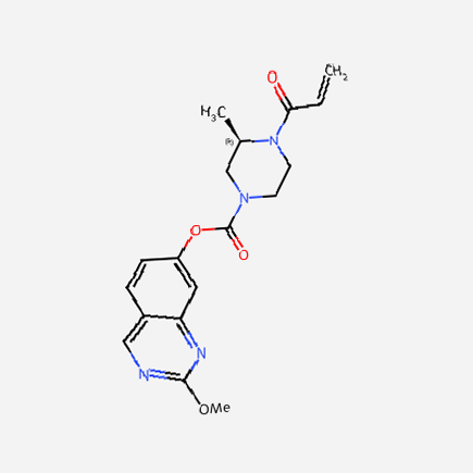 C=CC(=O)N1CCN(C(=O)Oc2ccc3cnc(OC)nc3c2)C[C@H]1C